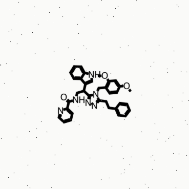 COc1ccc(Cn2c(CCc3ccccc3)nnc2C(CNC(=O)c2ccccn2)c2c[nH]c3ccccc23)c(OC)c1